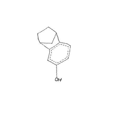 Oc1ccc2c(c1)C1CCC2C1